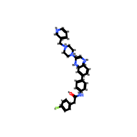 O=C(Cc1ccc(F)cc1)Nc1ccc(-c2ccc3ncc(N4CCN(Cc5cccnc5)CC4)nc3c2)cc1